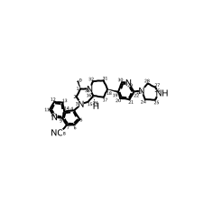 C[C@@H]1CN(c2ccc(C#N)c3ncccc23)C[C@@H]2C[C@H](c3ccc(N4CCNCC4)nc3)CCN21